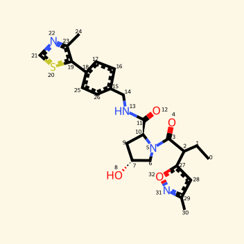 CCC(C(=O)N1C[C@H](O)C[C@H]1C(=O)NCc1ccc(-c2scnc2C)cc1)c1cc(C)no1